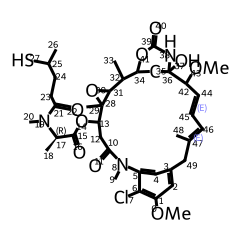 COc1cc2cc(c1Cl)N(C)C(=O)CC(OC(=O)[C@@H](C)N(C)C(=O)CCC(C)S)C1(C)OC1C(C)C1CC(O)(NC(=O)O1)C(OC)/C=C/C=C(\C)C2